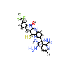 CN/C(=C\N)C(N)(c1ccc2nc(N=O)c(Cc3ccc(C(F)(F)F)cc3)c(S)c2c1)c1ccc(C)nc1C